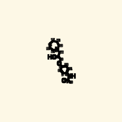 CC(=O)Nc1ccc(OCC(O)CN2CCCCCC2)cc1